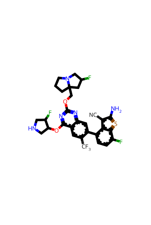 N#Cc1c(N)sc2c(F)ccc(-c3cc4nc(OCC56CCCN5CC(F)C6)nc(OC5CNCC5F)c4cc3C(F)(F)F)c12